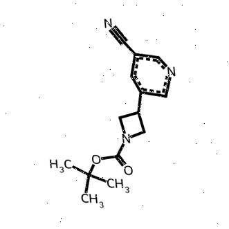 CC(C)(C)OC(=O)N1CC(c2cncc(C#N)c2)C1